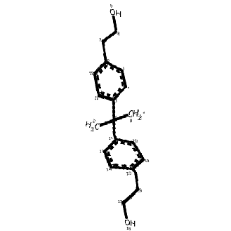 [CH2]C(C)(c1ccc(CCO)cc1)c1ccc(CCO)cc1